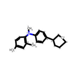 Cc1ccc(N(C)c2ccc(C3CCCCC3)cc2)c(C)c1